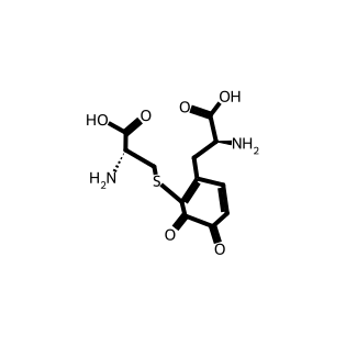 N[C@@H](CSC1=C(C[C@H](N)C(=O)O)C=CC(=O)C1=O)C(=O)O